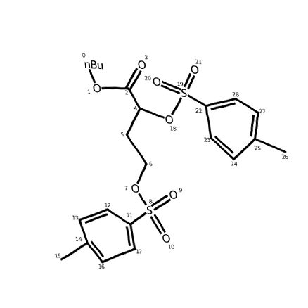 CCCCOC(=O)C(CCOS(=O)(=O)c1ccc(C)cc1)OS(=O)(=O)c1ccc(C)cc1